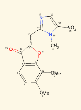 COc1ccc2c(c1OC)OC(=Cc1ncc([N+](=O)[O-])n1C)C2=O